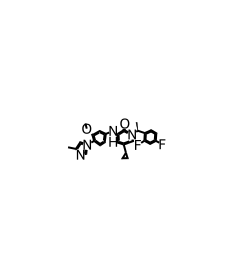 COc1cc(Nc2cc(C3CC3)cn([C@@H](C)c3ccc(F)cc3F)c2=O)ccc1-n1cnc(C)c1